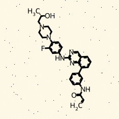 C=CC(=O)Nc1cccc(-c2cccc3cnc(Nc4ccc(N5CCN(C[C@H](C)O)CC5)c(F)c4)nc23)c1